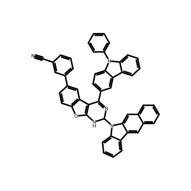 N#Cc1cccc(-c2ccc3oc4c(c3c2)C(c2ccc3c(c2)c2ccccc2n3-c2ccccc2)=NC(n2c3ccccc3c3cc5ccccc5cc32)N4)c1